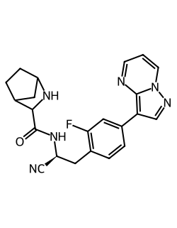 N#C[C@H](Cc1ccc(-c2cnn3cccnc23)cc1F)NC(=O)C1NC2CCC1C2